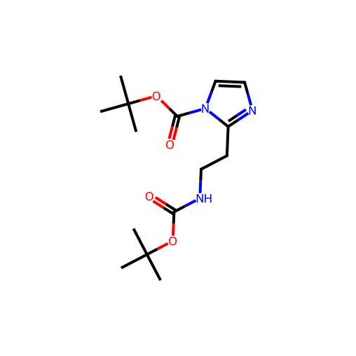 CC(C)(C)OC(=O)NCCc1nccn1C(=O)OC(C)(C)C